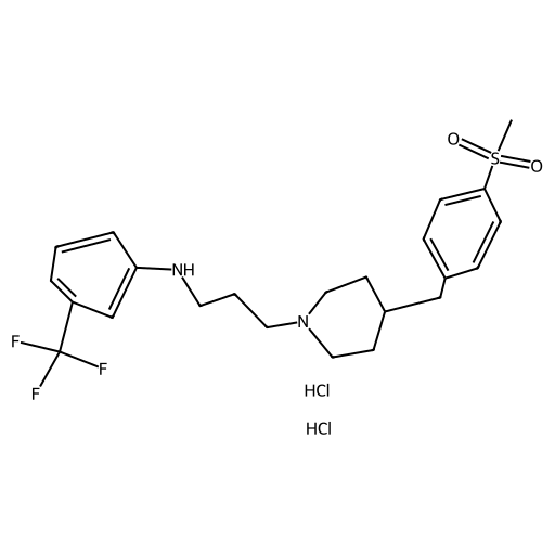 CS(=O)(=O)c1ccc(CC2CCN(CCCNc3cccc(C(F)(F)F)c3)CC2)cc1.Cl.Cl